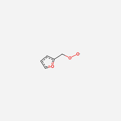 [O]OCc1ccco1